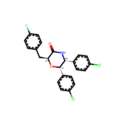 O=C1N[C@H](c2ccc(Cl)cc2)[C@H](c2ccc(Cl)cc2)O[C@H]1Cc1ccc(F)cc1